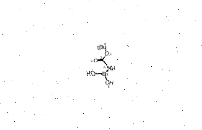 CC(C)(C)OC(=O)NB(O)O